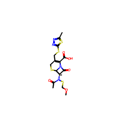 COCSN(C(C)=O)[C@@H]1C(=O)N2C(C(=O)O)=C(CSc3nnc(C)s3)CSC12